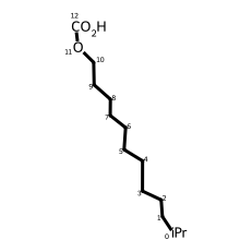 CC(C)CCCCCCCCCCOC(=O)O